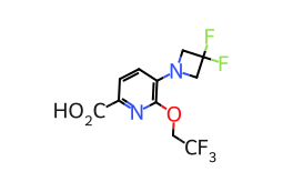 O=C(O)c1ccc(N2CC(F)(F)C2)c(OCC(F)(F)F)n1